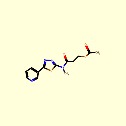 CC(=O)SCCC(=O)N(C)c1nnc(-c2cccnc2)s1